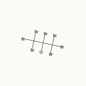 [O]C(Br)(C(Br)(Br)Br)C(Br)(Br)Br